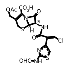 CC(=O)OCC1=C(C(=O)O)N2C(=O)[C@@H](NC(=O)C(=CCl)c3csc(NC=O)n3)[C@H]2SC1